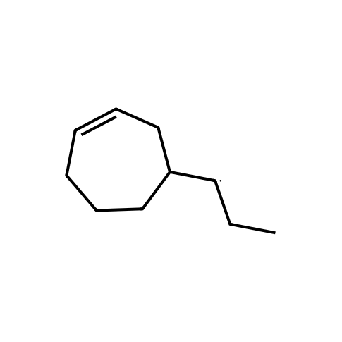 CC[CH]C1CC=CCCC1